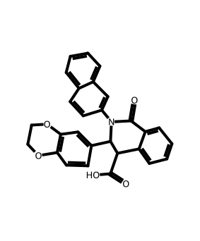 O=C(O)C1c2ccccc2C(=O)N(c2ccc3ccccc3c2)C1c1ccc2c(c1)OCCO2